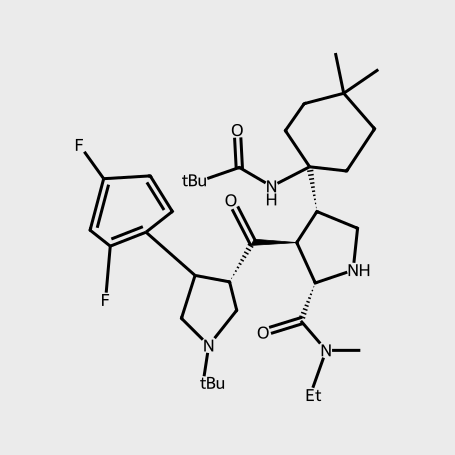 [CH2]C(C)(C)C(=O)NC1([C@@H]2CN[C@H](C(=O)N(C)CC)[C@H]2C(=O)[C@@H]2CN(C(C)(C)C)CC2c2ccc(F)cc2F)CCC(C)(C)CC1